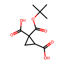 CC(C)(C)OC(=O)C1(C(=O)O)CC1C(=O)O